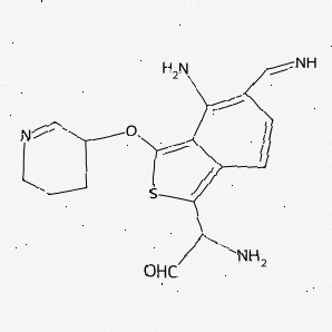 N=Cc1ccc2c(C(N)C=O)sc(OC3C=NCCC3)c2c1N